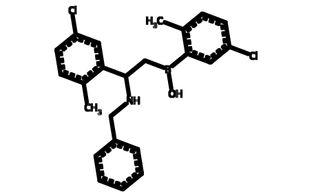 Cc1ccc(Cl)cc1B(O)CC(NCc1ccccc1)c1cc(Cl)ccc1C